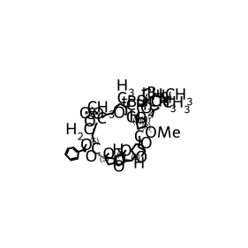 C=C1C[C@@H](OC(=O)c2ccccc2)CC[C@@]23CC4OC5C(O2)[C@H]2OC(CCC2O[C@H]5C4O3)CC(=O)CC2[C@H](CC3OC(CCC1OS(C)(=O)=O)CC(C)C3=C)O[C@H](CC(CO[Si](C)(C)C(C)(C)C)O[Si](C)(C)C(C)(C)C)[C@@H]2OC